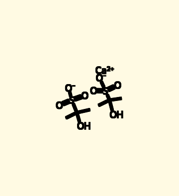 CC(C)(O)S(=O)(=O)[O-].CC(C)(O)S(=O)(=O)[O-].[Ca+2]